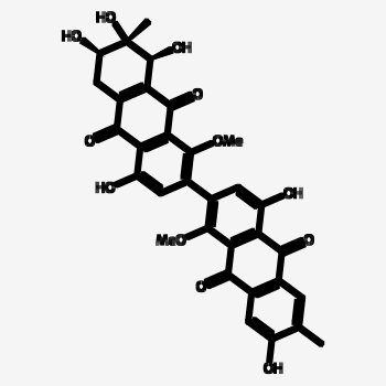 COc1c(-c2cc(O)c3c(c2OC)C(=O)c2cc(O)c(C)cc2C3=O)cc(O)c2c1C(=O)C1=C(C[C@@H](O)[C@](C)(O)[C@H]1O)C2=O